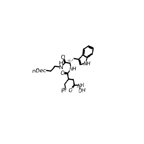 CCCCCCCCCCCCNC(=O)[C@H](Cc1c[nH]c2ccccc12)NC(=O)C(CC(=O)NO)CC(C)C